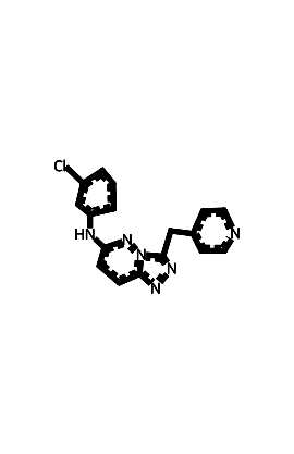 Clc1cccc(Nc2ccc3nnc(Cc4ccncc4)n3n2)c1